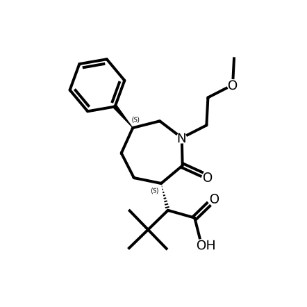 COCCN1C[C@H](c2ccccc2)CC[C@@H](C(C(=O)O)C(C)(C)C)C1=O